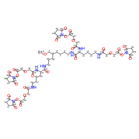 CCOCC(CCCCNC(=O)C(CCCCNC(=O)COCC(=O)ON1C(=O)CCC1=O)NC(=O)COCC(=O)ON1C(=O)CCC1=O)CCCNC(=O)C(CCCCNC(=O)COCC(=O)ON1C(=O)CCC1=O)NC(=O)COCC(=O)ON1C(=O)CCC1=O